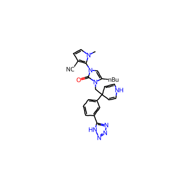 CCCCc1cn(-c2c(C#N)ccn2C)c(=O)n1CC1(c2cccc(-c3nnn[nH]3)c2)C=CNC=C1